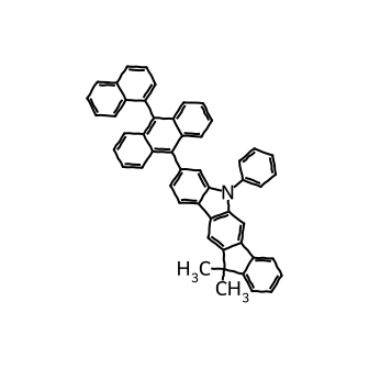 CC1(C)c2ccccc2-c2cc3c(cc21)c1ccc(-c2c4ccccc4c(-c4cccc5ccccc45)c4ccccc24)cc1n3-c1ccccc1